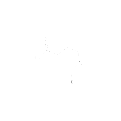 C[C@H](CCBr)CCC(=O)O